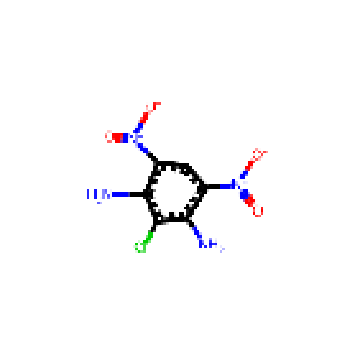 Nc1c([N+](=O)[O-])cc([N+](=O)[O-])c(N)c1Cl